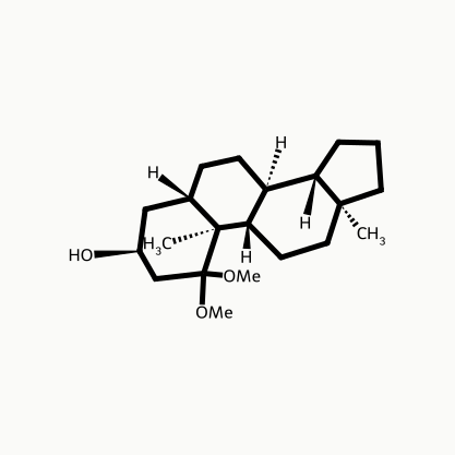 COC1(OC)C[C@@H](O)C[C@@H]2CC[C@H]3[C@@H]4CCC[C@@]4(C)CC[C@@H]3[C@]21C